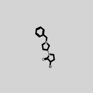 O=C1C(Br)CCN1[C@@H]1CCN(Cc2ccccc2)C1